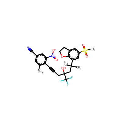 Cc1cc(C#N)cc([N+](=O)[O-])c1C#CCC(O)(CC(C)(C)c1cc(S(C)(=O)=O)cc2c1OCC2)C(F)(F)F